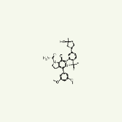 COc1cc(OC)cc(-c2nn(-c3cc(N4CCC(C)(O)C4)ccc3C(F)(F)F)c(=O)c3c2CCN3C(N)=O)c1